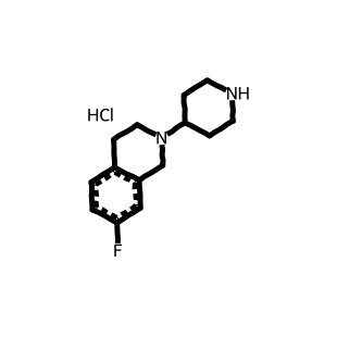 Cl.Fc1ccc2c(c1)CN(C1CCNCC1)CC2